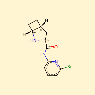 O=C(Nc1cccc(Br)n1)[C@@H]1C[C@H]2CC[C@H]2N1